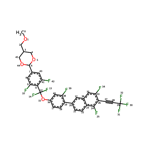 COCC1COC(c2cc(F)c(C(F)(F)Oc3ccc(-c4ccc5c(F)c(C#CC(F)(F)F)c(F)cc5c4)c(F)c3)c(F)c2)OC1